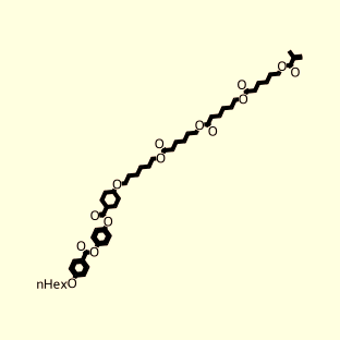 C=C(C)C(=O)OCCCCCC(=O)OCCCCCC(=O)OCCCCCC(=O)OCCCCCCOC1CCC(C(=O)Oc2ccc(OC(=O)c3ccc(OCCCCCC)cc3)cc2)CC1